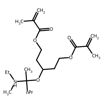 C=C(C)C(=O)OCCC(CCOC(=O)C(=C)C)OC(C)(CCC)[SiH](C)CC